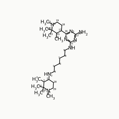 CC1C(NCCCCCCNc2nc(N)nc(C3CCN(C)C(C)(C)C3C)n2)CCN(C)C1(C)C